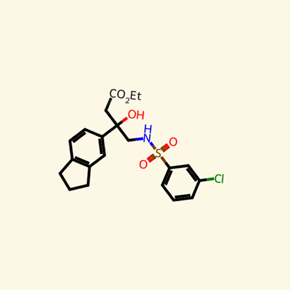 CCOC(=O)CC(O)(CNS(=O)(=O)c1cccc(Cl)c1)c1ccc2c(c1)CCC2